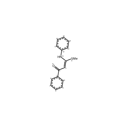 CSC(=CC(=O)c1ccccc1)Nc1ccccc1